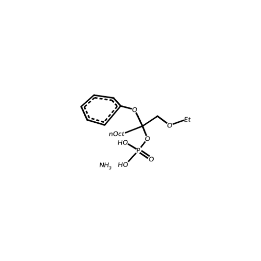 CCCCCCCCC(COCC)(Oc1ccccc1)OP(=O)(O)O.N